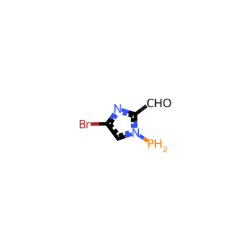 O=Cc1nc(Br)cn1P